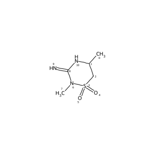 CC1CS(=O)(=O)N(C)C(=N)N1